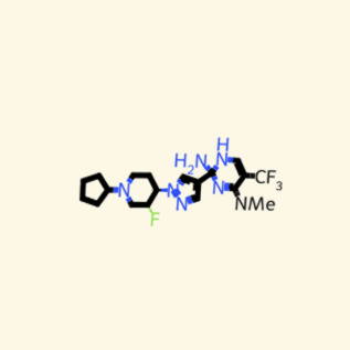 CNC1=NC(N)(c2cnn([C@@H]3CCN(C4CCCC4)C[C@H]3F)c2)NC=C1C(F)(F)F